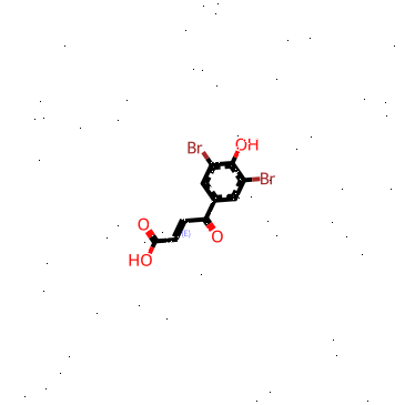 O=C(O)/C=C/C(=O)c1cc(Br)c(O)c(Br)c1